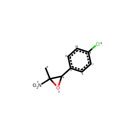 CC1([N+](=O)[O-])OC1c1ccc(Cl)cc1